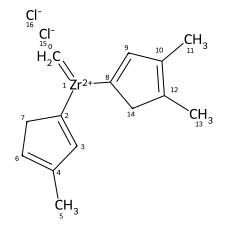 [CH2]=[Zr+2]([C]1=CC(C)=CC1)[C]1=CC(C)=C(C)C1.[Cl-].[Cl-]